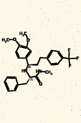 CNC(=O)[C@H](Cc1ccccc1)N[C@H](CCc1ccc(C(F)(F)F)cc1)c1ccc(OC)c(OC)c1